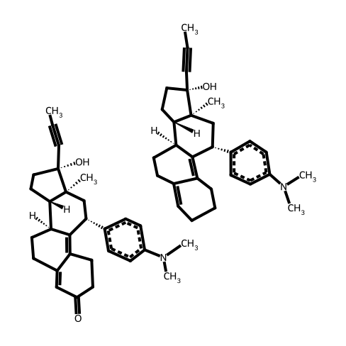 CC#C[C@]1(O)CC[C@H]2[C@@H]3CCC4=CC(=O)CCC4=C3[C@@H](c3ccc(N(C)C)cc3)C[C@@]21C.CC#C[C@]1(O)CC[C@H]2[C@@H]3CCC4=CCCCC4=C3[C@@H](c3ccc(N(C)C)cc3)C[C@@]21C